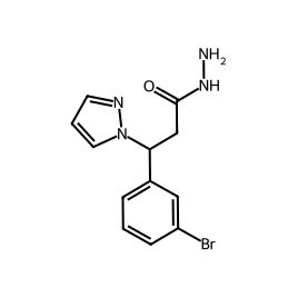 NNC(=O)CC(c1cccc(Br)c1)n1cccn1